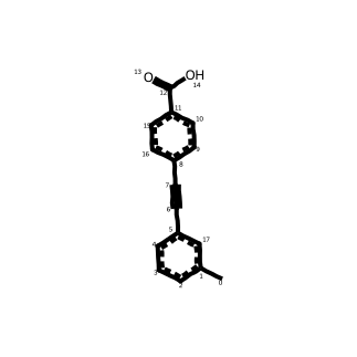 Cc1cccc(C#Cc2ccc(C(=O)O)cc2)c1